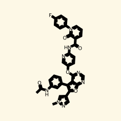 CC(=O)Nc1cccc(-c2c(-c3cnn(C)c3)oc3ncnc(Oc4ccc(NC(=O)c5cccn(-c6ccc(F)cc6)c5=O)nc4)c23)c1